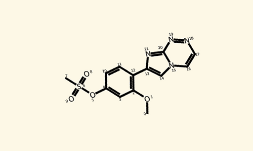 COc1cc(OS(C)(=O)=O)ccc1-c1cn2ccnnc2n1